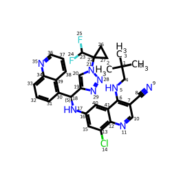 CC(C)(C)CNc1c(C#N)cnc2c(Cl)cc(N[C@H](c3cn(C4(C(F)F)CC4)nn3)c3cccc4ncccc34)cc12